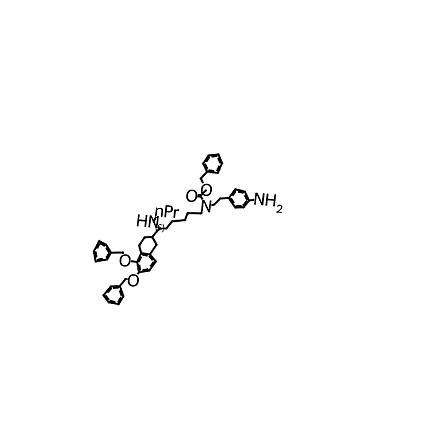 CCCN[C@@H](CCCCCN(CCc1ccc(N)cc1)C(=O)OCc1ccccc1)C1CCc2c(ccc(OCc3ccccc3)c2OCc2ccccc2)C1